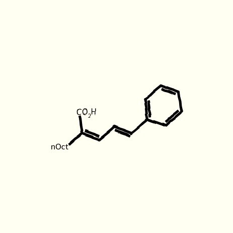 CCCCCCCCC(=CC=Cc1ccccc1)C(=O)O